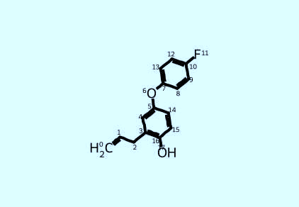 C=CCc1cc(Oc2ccc(F)cc2)ccc1O